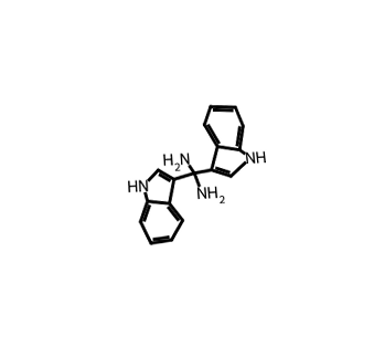 NC(N)(c1c[nH]c2ccccc12)c1c[nH]c2ccccc12